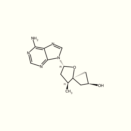 C[C@H]1C[C@H](n2cnc3c(N)ncnc32)O[C@]12C[C@@H](O)C2